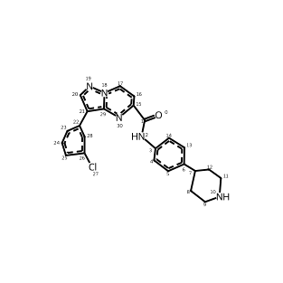 O=C(Nc1ccc(C2CCNCC2)cc1)c1ccn2ncc(-c3cccc(Cl)c3)c2n1